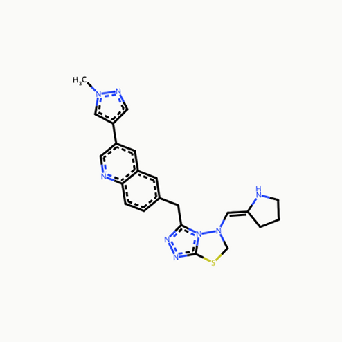 Cn1cc(-c2cnc3ccc(Cc4nnc5n4N(/C=C4\CCCN4)CS5)cc3c2)cn1